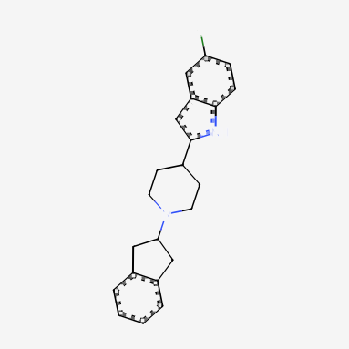 Clc1ccc2[nH]c(C3CCN(C4Cc5ccccc5C4)CC3)cc2c1